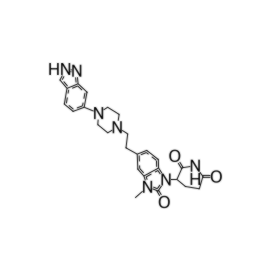 Cn1c(=O)n(C2CCC(=O)NC2=O)c2ccc(CCN3CCN(c4ccc5c[nH]nc5c4)CC3)cc21